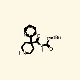 CC(C)(C)OC(=O)NC(=O)C1(c2ccccn2)CCNCC1